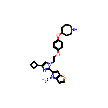 Cn1c(-c2nc(C3CCC3)cn2CCOc2ccc(OC3CCCNCC3)cc2)cc2sccc21